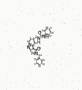 O=C(NCc1ccn2ncc(C(=O)NCc3ccccc3)c2c1)Nc1ccccc1